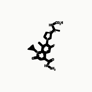 Cc1c(N2CC[C@@H]([C@H](C)NC(=O)O)C2)c(F)cc2c(C(=O)NN)cc(=O)n(C3CC3)c12